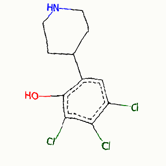 Oc1c(C2CCNCC2)cc(Cl)c(Cl)c1Cl